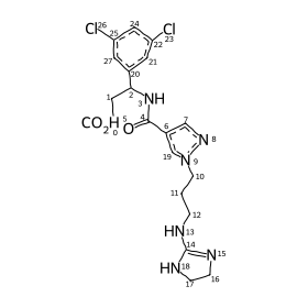 O=C(O)CC(NC(=O)c1cnn(CCCNC2=NCCN2)c1)c1cc(Cl)cc(Cl)c1